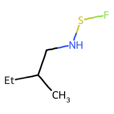 CCC(C)CNSF